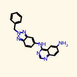 Nc1ccc2ncnc(Nc3ccc4nn(Cc5ccccc5)nc4c3)c2c1